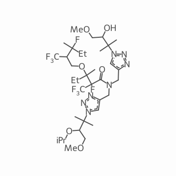 CCC(C)(F)C(COC(C)(CC)C(F)(C(=O)N(Cc1cn(C(C)(C)C(O)COC)nn1)Cc1cn(C(C)(C)C(COC)OC(C)C)nn1)C(F)(F)F)C(F)(F)F